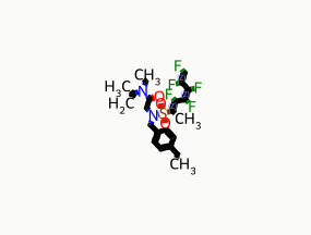 C=C(C)N(CC)C(=O)CN(Cc1ccc(CC)cc1)S(=O)(=O)/C(C)=C(F)/C(F)=C(F)\C(F)=C\F